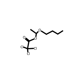 CCCCOC(C)OC(=O)C(Cl)(Cl)Cl